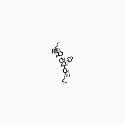 O=S(=O)(CCCF)Nc1cccc(-c2ccc3nc(-c4ccc(NCCCO)nc4)nc(N4CCOCC4)c3n2)c1F